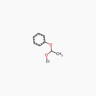 CCOC(C)Oc1ccccc1